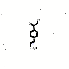 CC(C)CC(=O)c1ccc(/C=C/C(=O)O)cc1